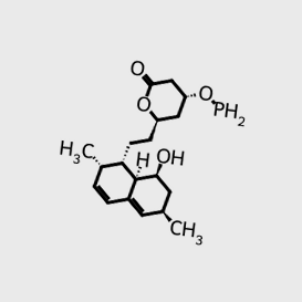 C[C@H]1C=C2C=C[C@H](C)[C@H](CC[C@@H]3C[C@@H](OP)CC(=O)O3)[C@H]2[C@@H](O)C1